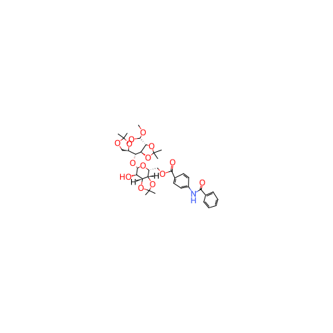 COC(OC)[C@@H]1OC(C)(C)O[C@H]1[C@H](O[C@@H]1O[C@H](COC(=O)c2ccc(NC(=O)c3ccccc3)cc2)[C@@H]2OC(C)(C)O[C@@H]2[C@H]1O)[C@H]1COC(C)(C)O1